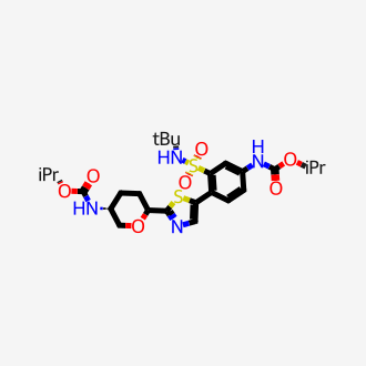 CC(C)OC(=O)Nc1ccc(-c2cnc(C3CC[C@@H](NC(=O)OC(C)C)CO3)s2)c(S(=O)(=O)NC(C)(C)C)c1